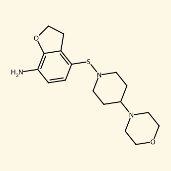 Nc1ccc(SN2CCC(N3CCOCC3)CC2)c2c1OCC2